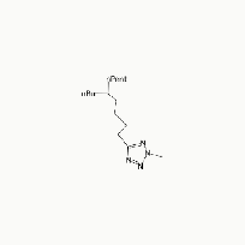 CCCCCC(CCCC)CCCCc1nnn(C)n1